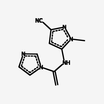 C=C(Nc1cc(C#N)nn1C)n1ccnc1